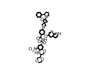 Cc1ccccc1C1CCCN1C1CC2(C1)CN(c1ccc(C(=O)NS(=O)(=O)c3cc4c(c([N+](=O)[O-])c3)NC(C3COCCO3)CO4)c(Oc3cnc4[nH]ccc4c3)c1)C2